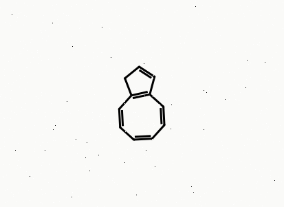 C1=CC=CC2=C(C=C1)C=CC2